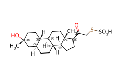 C[C@@]1(O)CC[C@H]2[C@@H](CC[C@@H]3[C@@H]2CC[C@]2(C)[C@@H](C(=O)CSS(=O)(=O)O)CC[C@@H]32)C1